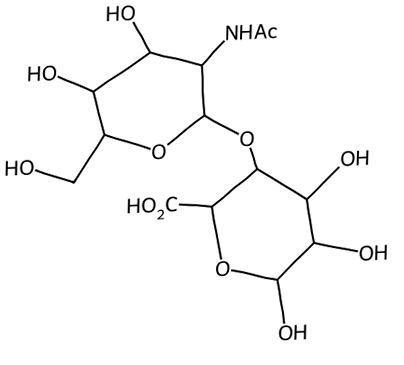 CC(=O)NC1C(OC2C(C(=O)O)OC(O)C(O)C2O)OC(CO)C(O)C1O